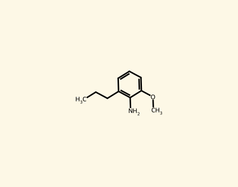 CCCc1cccc(OC)c1N